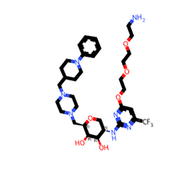 NCCOCCOCCOc1cc(C(F)(F)F)nc(N[C@H]2CO[C@H](CN3CCN(CC4CCN(c5ccccc5)CC4)CC3)[C@H](O)[C@@H]2O)n1